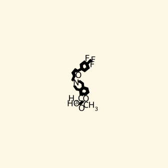 CC(C)(Oc1ccc2c(c1)CCN(Cc1ccc(-c3ccc(C(F)(F)F)cc3)o1)CC2)C(=O)O